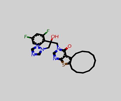 O=c1c2c3c(sc2ncn1CC(O)(Cn1cncn1)c1ccc(F)cc1F)CCCCCCCCCC3